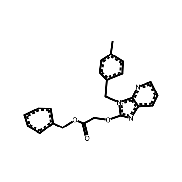 Cc1ccc(Cn2c(OCC(=O)OCc3ccccc3)nc3cccnc32)cc1